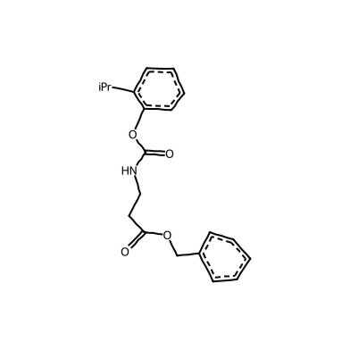 CC(C)c1ccccc1OC(=O)NCCC(=O)OCc1ccccc1